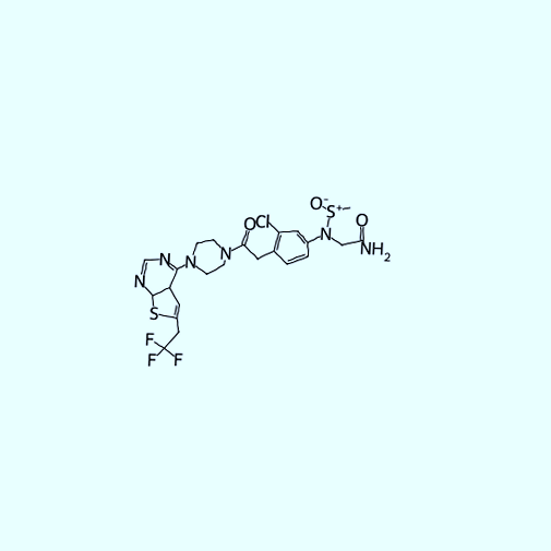 C[S+]([O-])N(CC(N)=O)c1ccc(CC(=O)N2CCN(C3=NC=NC4SC(CC(F)(F)F)=CC34)CC2)c(Cl)c1